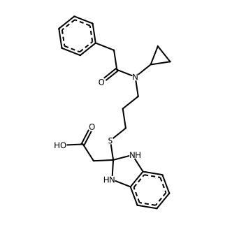 O=C(O)CC1(SCCCN(C(=O)Cc2ccccc2)C2CC2)Nc2ccccc2N1